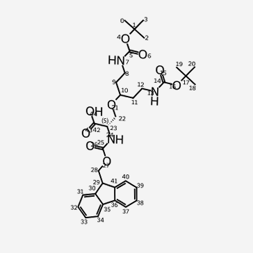 CC(C)(C)OC(=O)NCCC(CCNC(=O)OC(C)(C)C)OC[C@H](NC(=O)OCC1c2ccccc2-c2ccccc21)C(=O)O